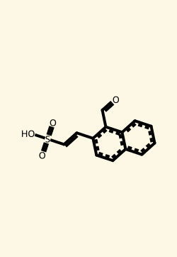 O=Cc1c(/C=C/S(=O)(=O)O)ccc2ccccc12